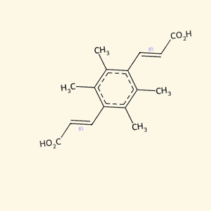 Cc1c(C)c(/C=C/C(=O)O)c(C)c(C)c1/C=C/C(=O)O